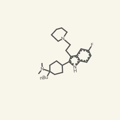 CCCCC1(N(C)C)CCC(c2[nH]c3ccc(F)cc3c2CCN2CCCCC2)CC1